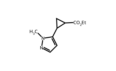 CCOC(=O)C1CC1c1ccnn1C